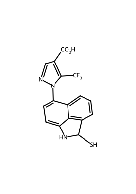 O=C(O)c1cnn(-c2ccc3c4c(cccc24)C(S)N3)c1C(F)(F)F